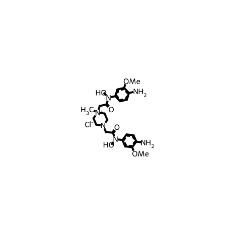 COc1cc(N(O)C(=O)CN2CC[N+](C)(CC(=O)N(O)c3ccc(N)c(OC)c3)CC2)ccc1N.[Cl-]